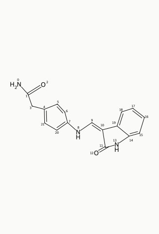 NC(=O)Cc1ccc(N/C=C2\C(=O)Nc3ccccc32)cc1